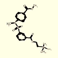 COC(=O)c1ccc(N(C)S(=O)(=O)c2cccc(C(=O)OCC[Si](C)(C)C)c2)cc1